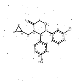 O=C1CO[C@@H](c2cccc(Cl)c2)C(c2ccc(Cl)cc2)N1CC1CC1